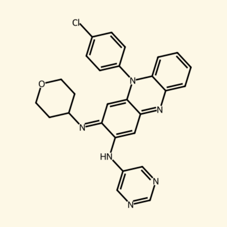 Clc1ccc(-n2c3c/c(=N\C4CCOCC4)c(Nc4cncnc4)cc-3nc3ccccc32)cc1